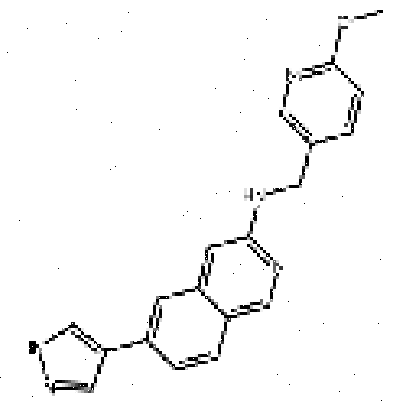 COc1ccc(CNc2cc3cc(-c4cn[nH]c4)ccc3cn2)cn1